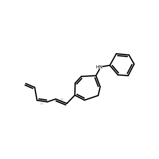 C=C/C=C\C=C\C1=CCC=C(Nc2ccccc2)C=C1